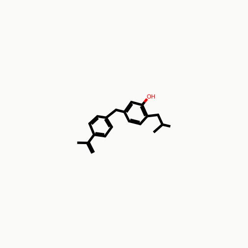 C=C(C)c1ccc(Cc2ccc(CC(C)C)c(O)c2)cc1